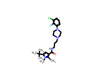 Cc1c(C(=O)NCCCN2CCN(c3cccc(Cl)c3F)CC2)cc(C(C)(C)C)n1C